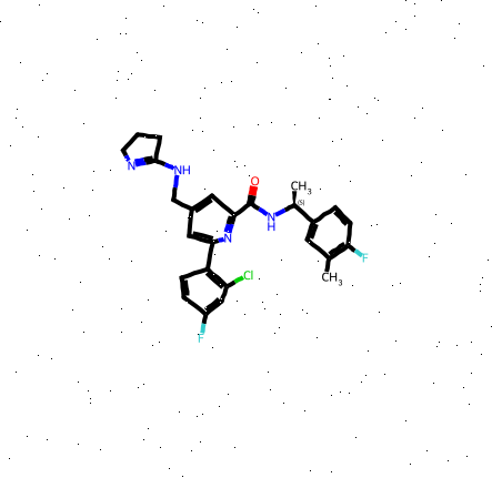 Cc1cc([C@H](C)NC(=O)c2cc(CNC3=NCCC3)cc(-c3ccc(F)cc3Cl)n2)ccc1F